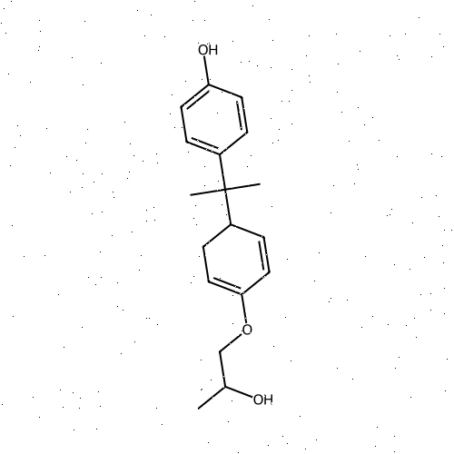 CC(O)COC1=CCC(C(C)(C)c2ccc(O)cc2)C=C1